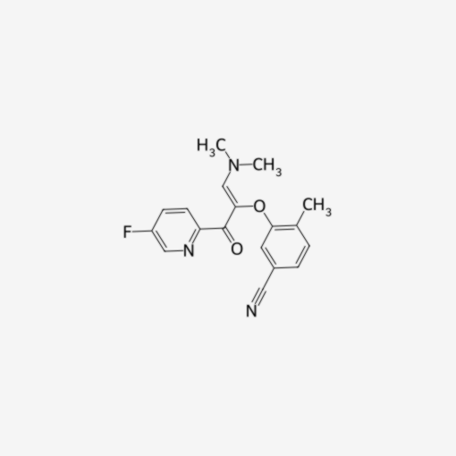 Cc1ccc(C#N)cc1OC(=CN(C)C)C(=O)c1ccc(F)cn1